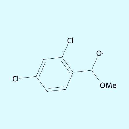 COC([O])c1ccc(Cl)cc1Cl